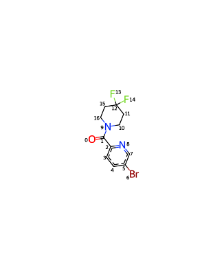 O=C(c1ccc(Br)cn1)N1CCC(F)(F)CC1